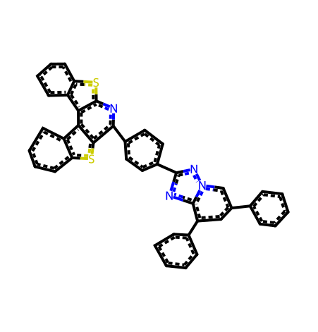 c1ccc(-c2cc(-c3ccccc3)c3nc(-c4ccc(-c5nc6sc7ccccc7c6c6c5sc5ccccc56)cc4)nn3c2)cc1